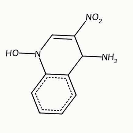 NC1C([N+](=O)[O-])=CN(O)c2ccccc21